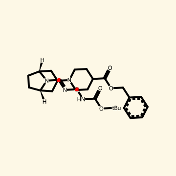 CC(C)(C)OC(=O)NON=CN1[C@@H]2CC[C@H]1CC(N1CCC(C(=O)OCc3ccccc3)CC1)C2